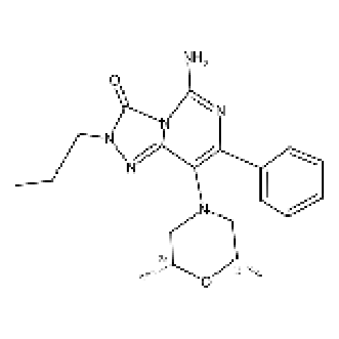 CCCn1nc2c(N3C[C@@H](C)O[C@@H](C)C3)c(-c3ccccc3)nc(N)n2c1=O